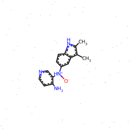 Cc1[nH]c2ccc([NH+]([O-])c3cnccc3N)cc2c1C